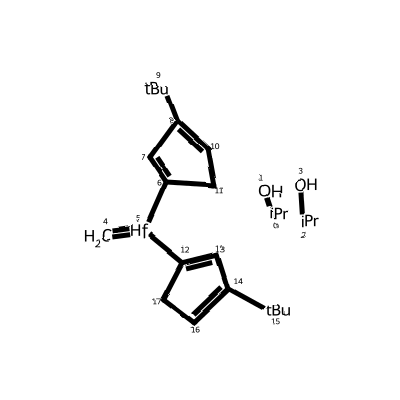 CC(C)O.CC(C)O.[CH2]=[Hf]([C]1=CC(C(C)(C)C)=CC1)[C]1=CC(C(C)(C)C)=CC1